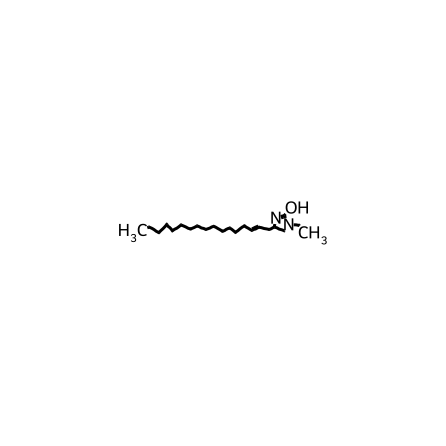 CCCCCCCCCCCCCCC=CCC1CN(CC)C(O)=N1